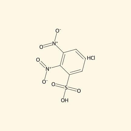 Cl.O=[N+]([O-])c1cccc(S(=O)(=O)O)c1[N+](=O)[O-]